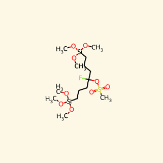 CO[Si](CCCC(F)(CCC[Si](OC)(OC)OC)OS(C)(=O)=O)(OC)OC